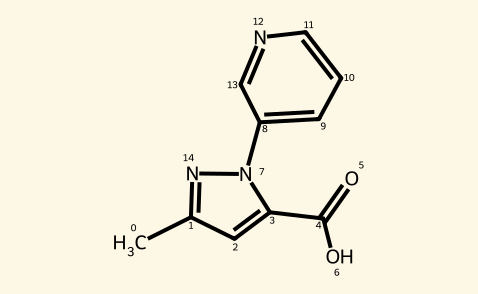 Cc1cc(C(=O)O)n(-c2cccnc2)n1